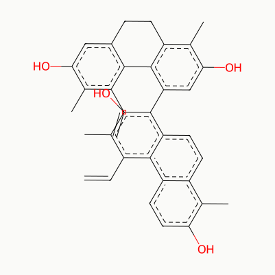 C=Cc1c(C)c(O)cc2c1-c1c(-c3c(O)c(C)c(C=C)c4c3ccc3c(C)c(O)ccc34)cc(O)c(C)c1CC2